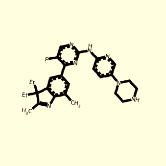 CCC1(CC)C(C)=Nc2c(C)cc(-c3nc(Nc4ccc(N5CCNCC5)cn4)ncc3F)cc21